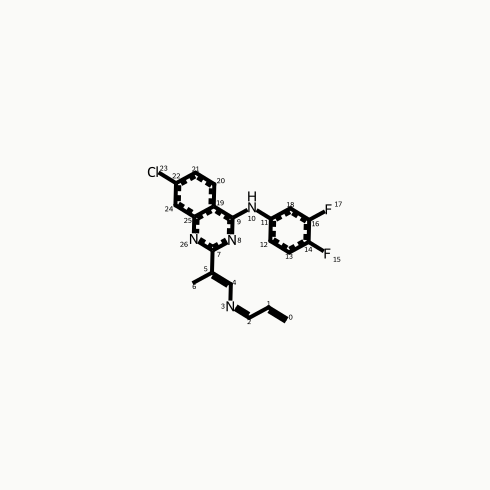 C=C/C=N\C=C(/C)c1nc(Nc2ccc(F)c(F)c2)c2ccc(Cl)cc2n1